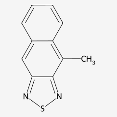 Cc1c2ccccc2cc2nsnc12